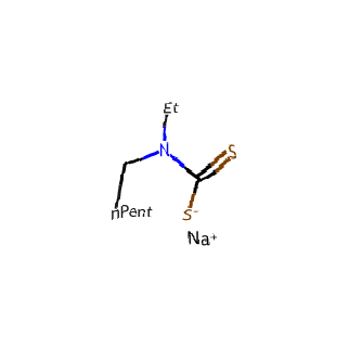 CCCCCCN(CC)C(=S)[S-].[Na+]